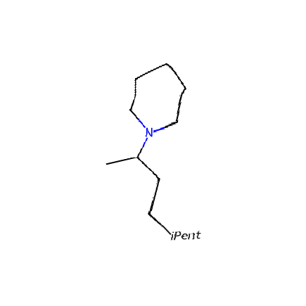 CCCC(C)CCC(C)N1CCCCC1